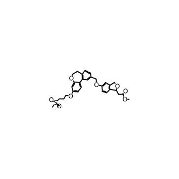 COC(=O)CC1OCc2cc(OCc3ccc4c(c3)-c3ccc(OCCCS(C)(=O)=O)cc3OCC4)ccc21